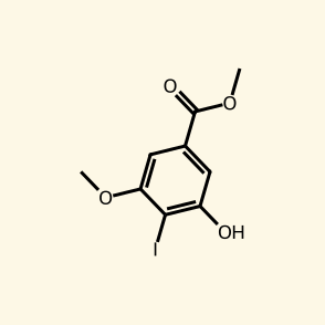 COC(=O)c1cc(O)c(I)c(OC)c1